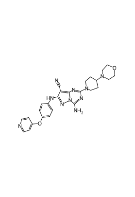 N#Cc1c(Nc2ccc(Oc3ccncc3)cc2)nn2c(N)nc(N3CCC(N4CCOCC4)CC3)nc12